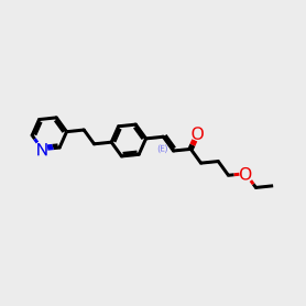 CCOCCCC(=O)/C=C/c1ccc(CCc2cccnc2)cc1